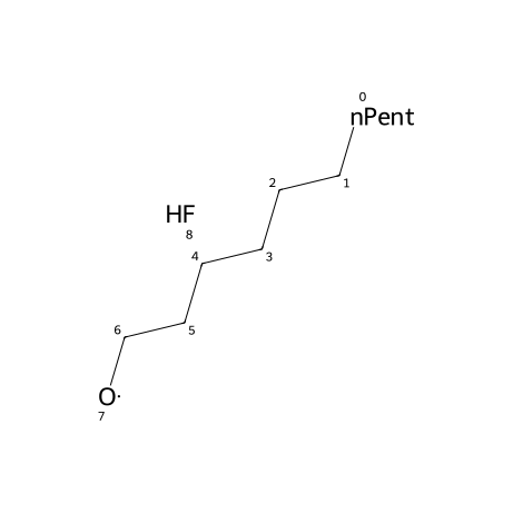 CCCCCCCCCCC[O].F